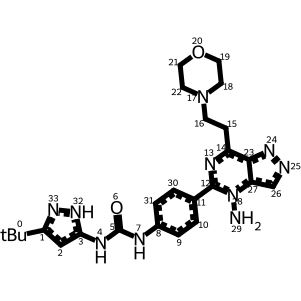 CC(C)(C)c1cc(NC(=O)Nc2ccc(-c3nc(CCN4CCOCC4)c4nncc-4n3N)cc2)[nH]n1